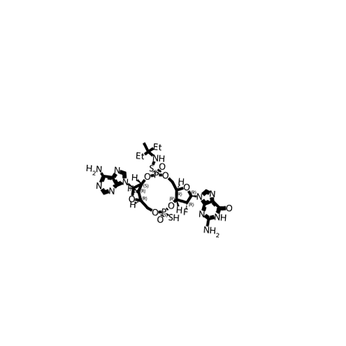 CCC(C)(CC)NS[P@@]1(=O)OC[C@H]2O[C@@H](n3cnc4c(=O)[nH]c(N)nc43)[C@H](F)[C@@H]2O[P@@](=O)(S)OC[C@H]2O[C@@H](n3cnc4c(N)ncnc43)[C@H](O1)[C@@H]2F